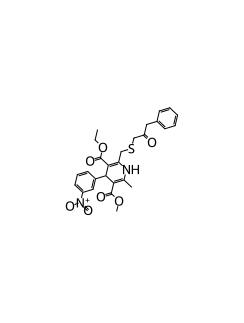 CCOC(=O)C1=C(CSCC(=O)Cc2ccccc2)NC(C)=C(C(=O)OC)C1c1cccc([N+](=O)[O-])c1